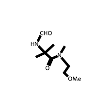 COCCN(C)C(=O)C(C)(C)NC=O